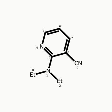 CCN(CC)c1ncccc1C#N